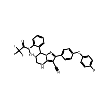 CN(C(=O)C(F)(F)F)c1ccccc1C1CCNc2c(C#N)c(-c3ccc(Oc4ccc(F)cc4)cc3)nn21